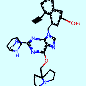 C#Cc1cccc2cc(O)cc(Cn3cnc4c(OCC56CCCN5CCC6)nc(N5CC6CCC5CN6)nc43)c12